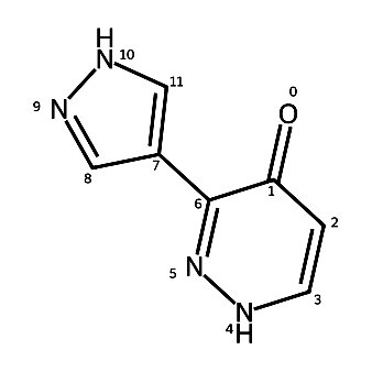 O=c1cc[nH]nc1-c1cn[nH]c1